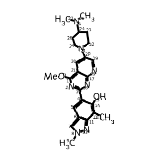 COc1nc(-c2cc3cn(C)nc3c(C)c2O)nc2ncc(N3CCC(N(C)C)CC3)cc12